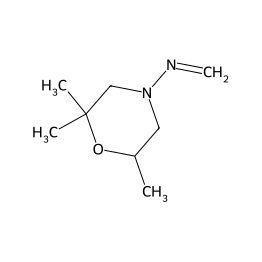 C=NN1CC(C)OC(C)(C)C1